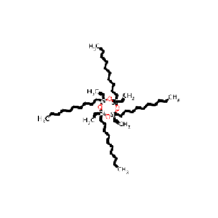 C=C[Si]1(CCCCCCCCCC)O[Si](C=C)(CCCCCCCCCC)O[Si](C=C)(CCCCCCCCCC)O[Si](C=C)(CCCCCCCCCC)O1